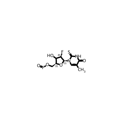 Cc1cn([C@H]2O[C@@H](COP=O)C(O)[C@H]2F)c(=S)[nH]c1=O